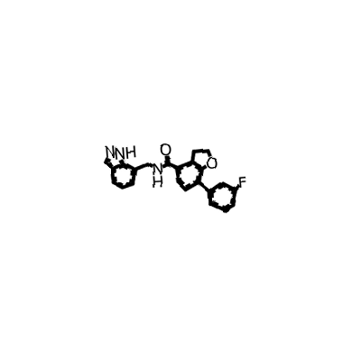 O=C(NCc1cccc2cn[nH]c12)c1ccc(-c2cccc(F)c2)c2c1CCO2